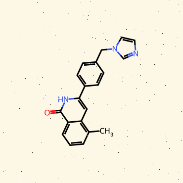 Cc1cccc2c(=O)[nH]c(-c3ccc(Cn4ccnc4)cc3)cc12